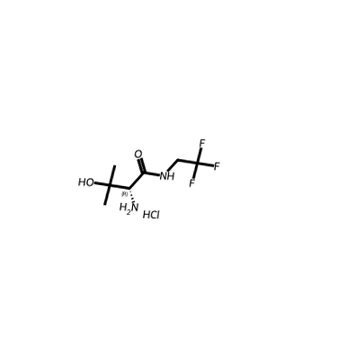 CC(C)(O)[C@@H](N)C(=O)NCC(F)(F)F.Cl